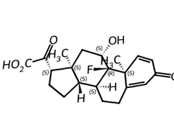 C[C@]12C[C@H](O)[C@@]3(F)[C@@H](CCC4=CC(=O)C=C[C@@]43C)[C@@H]1CC[C@@H]2C(=O)C(=O)O